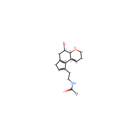 CCC(=O)NCCC1=CCC2=C1C1=CCCOC1C(Br)C2